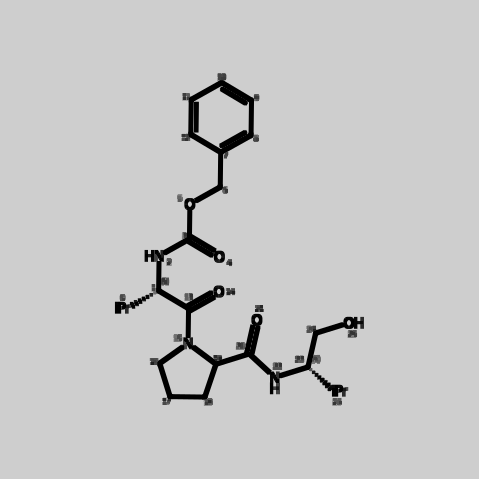 CC(C)[C@H](NC(=O)OCc1ccccc1)C(=O)N1CCCC1C(=O)N[C@H](CO)C(C)C